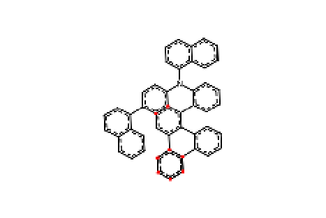 c1ccc(-c2ccccc2-c2c(-c3ccccc3)cccc2-c2ccccc2N(c2ccc(-c3cccc4ccccc34)cc2)c2cccc3ccccc23)cc1